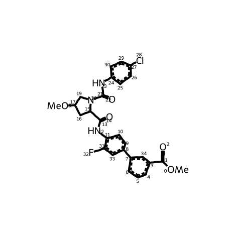 COC(=O)c1cccc(-c2ccc(NC(=O)C3CC(OC)CN3C(=O)Nc3ccc(Cl)cc3)c(F)c2)c1